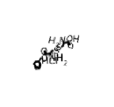 Cl.N[C@@H](CSSC[C@H](N)C(=O)OCc1ccccc1)C(=O)O